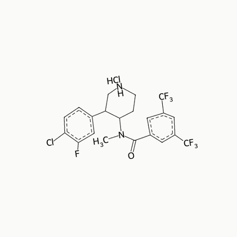 CN(C(=O)c1cc(C(F)(F)F)cc(C(F)(F)F)c1)C1CCNCC1c1ccc(Cl)c(F)c1.Cl